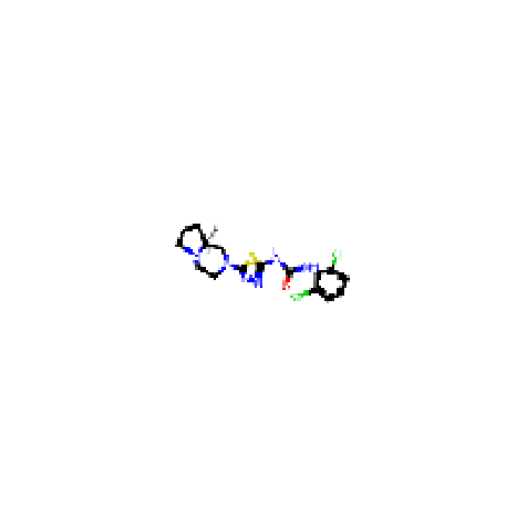 O=C(Nc1nnc(N2CCN3CCC[C@H]3C2)s1)Nc1c(Cl)cccc1Cl